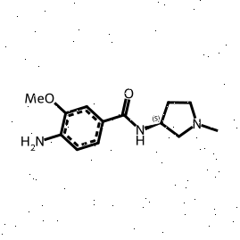 COc1cc(C(=O)N[C@H]2CCN(C)C2)ccc1N